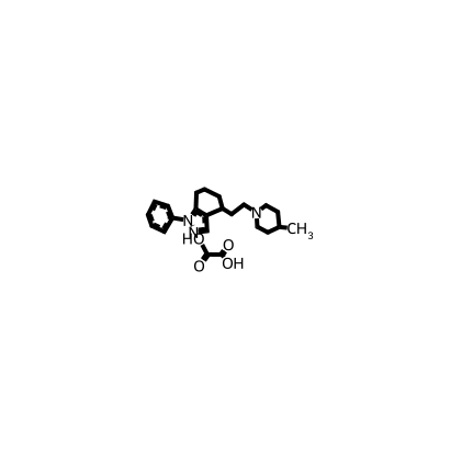 CC1CCN(CCC2CCCc3c2cnn3-c2ccccc2)CC1.O=C(O)C(=O)O